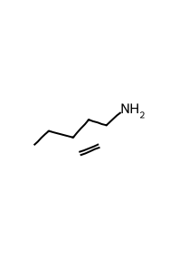 C=C.CCCCCN